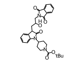 CC(C)(C)OC(=O)N1CCC(N2C(=O)C(CC(O)CN3C(=O)c4ccccc4C3=O)c3ccccc32)CC1